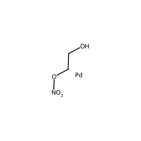 O=[N+]([O-])OCCO.[Pd]